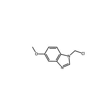 COc1ccc2c(c1)ncn2CCl